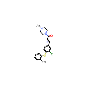 CC(=O)N1CCN(C(=O)/C=C/c2ccc(Sc3ccccc3C#N)c(Cl)c2)CC1